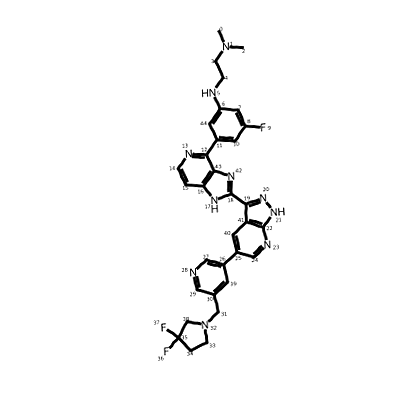 CN(C)CCNc1cc(F)cc(-c2nccc3[nH]c(-c4n[nH]c5ncc(-c6cncc(CN7CCC(F)(F)C7)c6)cc45)nc23)c1